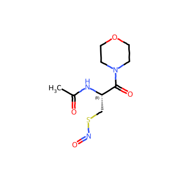 CC(=O)N[C@@H](CSN=O)C(=O)N1CCOCC1